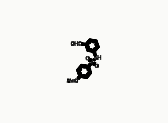 COc1ccc(S(=O)(=O)Nc2cccc(C=O)c2)cc1